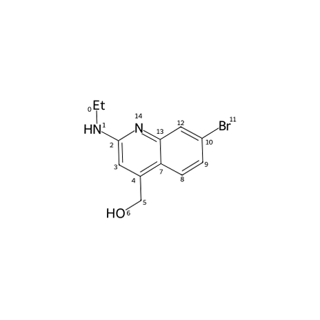 CCNc1cc(CO)c2ccc(Br)cc2n1